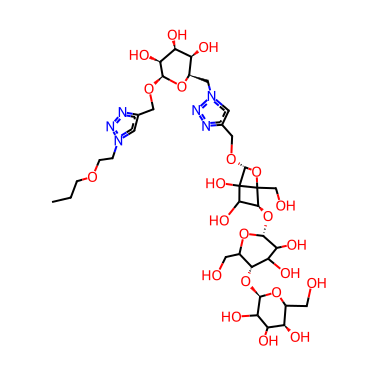 CCCOCCn1cc(CO[C@@H]2O[C@H](Cn3cc(CO[C@@H]4OC5(CO)[C@@H](O[C@H]6OC(CO)[C@@H](O[C@H]7OC(CO)[C@@H](O)C(O)C7O)C(O)C6O)C(O)C45O)nn3)[C@H](O)[C@H](O)[C@@H]2O)nn1